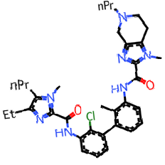 CCCc1c(CC)nc(C(=O)Nc2cccc(-c3cccc(NC(=O)c4nc5c(n4C)CCN(CCC)C5)c3C)c2Cl)n1C